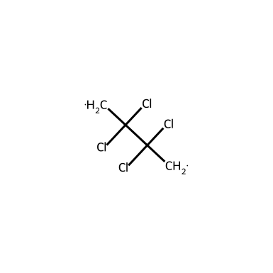 [CH2]C(Cl)(Cl)C([CH2])(Cl)Cl